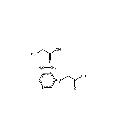 CC.CCC(=O)O.CCC(=O)O.c1cnccn1